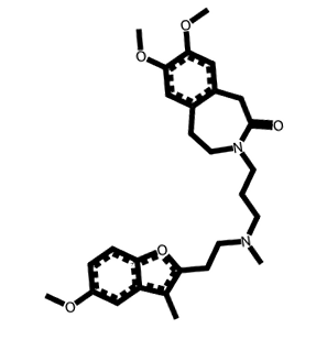 COc1ccc2oc(CCN(C)CCCN3CCc4cc(OC)c(OC)cc4CC3=O)c(C)c2c1